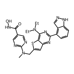 CCN(CC)c1nc(-c2cccc3[nH]ncc23)nc2cc(CN(C)c3ncc(C(=O)NO)cn3)sc12